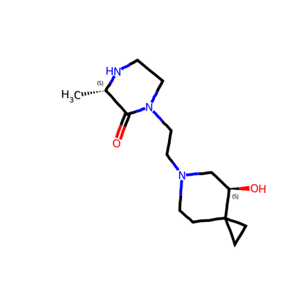 C[C@@H]1NCCN(CCN2CCC3(CC3)[C@H](O)C2)C1=O